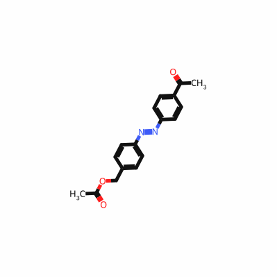 CC(=O)OCc1ccc(/N=N/c2ccc(C(C)=O)cc2)cc1